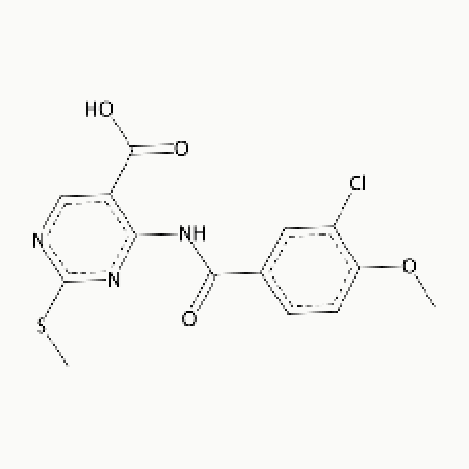 COc1ccc(C(=O)Nc2nc(SC)ncc2C(=O)O)cc1Cl